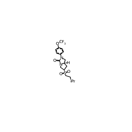 CC(C)CCS(=O)(=O)[C@@H]1C[C@H]2CN(c3ccc(OC(F)(F)F)cc3)C(=O)N2C1